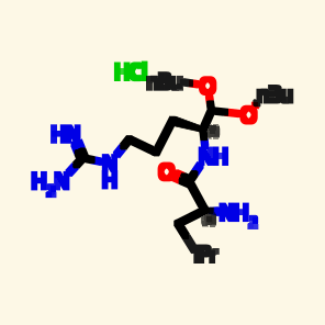 CCCCOC(OCCCC)[C@H](CCCNC(=N)N)NC(=O)[C@@H](N)CC(C)C.Cl